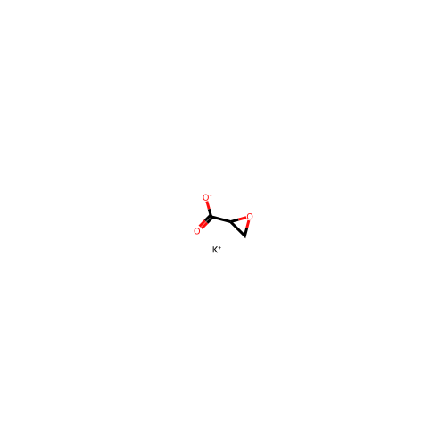 O=C([O-])C1CO1.[K+]